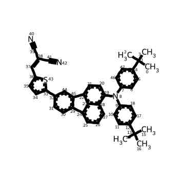 CC(C)(C)c1ccc(N(c2ccc(C(C)(C)C)cc2)c2ccc3c4c(cccc24)-c2ccc(-c4ccc(C=C(C#N)C#N)s4)cc2-3)cc1